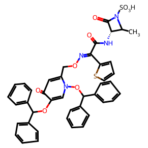 CC1[C@H](NC(=O)/C(=N/OCc2cc(=O)c(OC(c3ccccc3)c3ccccc3)cn2OC(c2ccccc2)c2ccccc2)c2cccs2)C(=O)N1S(=O)(=O)O